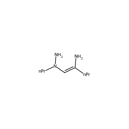 CCC/C(N)=C/N(N)CCC